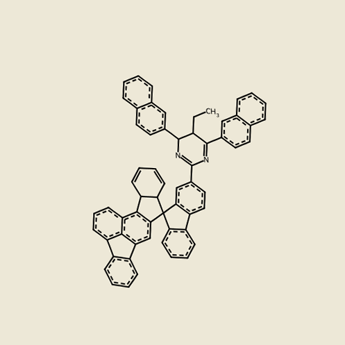 CCC1C(c2ccc3ccccc3c2)=NC(c2ccc3c(c2)C2(c4ccccc4-3)c3cc4c5c(cccc5c3C3C=CC=CC32)-c2ccccc2-4)=NC1c1ccc2ccccc2c1